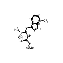 CSCC(=O)NC(Cc1coc2c(C(F)(F)F)cccc12)B(O)O